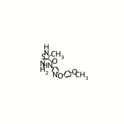 COc1ccc(Oc2ccc(NC(=O)C3=C(N)SNC3C)cn2)cc1